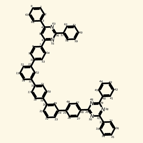 c1ccc(-c2cc(-c3ccc(-c4cccc(-c5ccc(-c6cccc(-c7ccc(-c8nc(-c9ccccc9)nc(-c9ccccc9)n8)cc7)c6)cc5)c4)cc3)nc(-c3ccccc3)n2)cc1